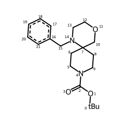 CC(C)(C)OC(=O)N1CCC2(CC1)COCCN2Cc1ccccc1